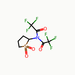 O=C(N(C(=O)C(F)(F)F)C1CCCS1(=O)=O)C(F)(F)F